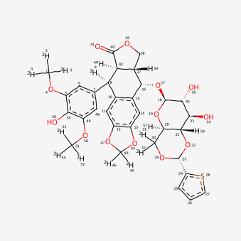 [2H]C([2H])([2H])Oc1cc([C@]2([2H])c3cc4c(cc3[C@@H](O[C@@H]3O[C@H]5[C@@H](O[C@H](c6cccs6)OC5([2H])[2H])[C@H](O)[C@H]3O)[C@H]3COC(=O)[C@@H]32)OC([2H])([2H])O4)cc(OC([2H])([2H])[2H])c1O